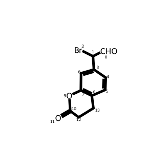 O=CC(Br)c1ccc2c(c1)OC(=O)CC2